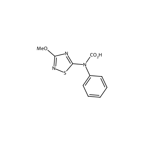 COc1nsc(N(C(=O)O)c2ccccc2)n1